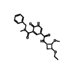 CCOC1CC(NC(=O)c2c[nH]c(=O)c(C(=O)N(C)Cc3ccccc3)c2)C1OC